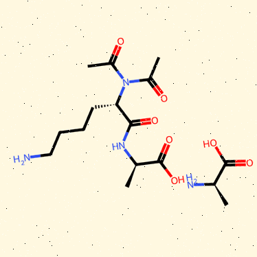 CC(=O)N(C(C)=O)[C@@H](CCCCN)C(=O)N[C@H](C)C(=O)O.C[C@@H](N)C(=O)O